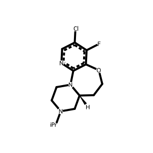 CC(C)N1CCN2c3ncc(Cl)c(F)c3OCC[C@@H]2C1